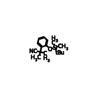 CC(C)(C#N)c1ccccc1O[Si](C)(C)C(C)(C)C